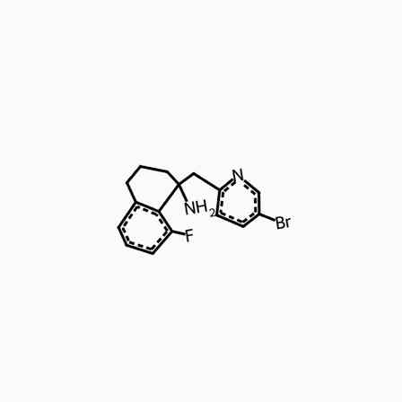 NC1(Cc2ccc(Br)cn2)CCCc2cccc(F)c21